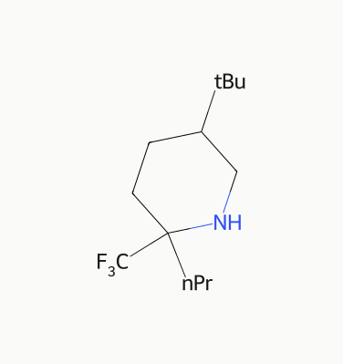 CCCC1(C(F)(F)F)CCC(C(C)(C)C)CN1